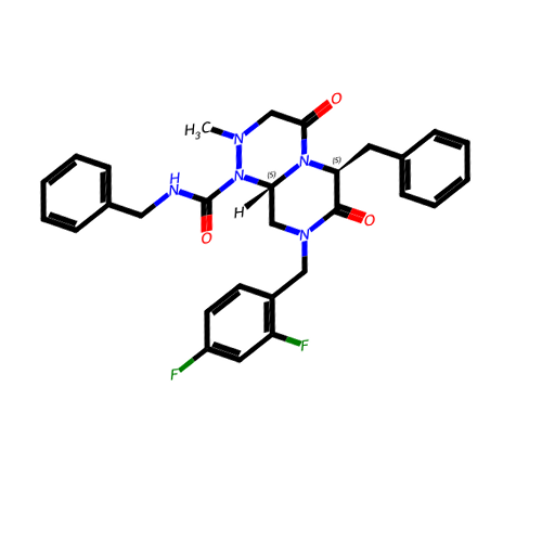 CN1CC(=O)N2[C@@H](Cc3ccccc3)C(=O)N(Cc3ccc(F)cc3F)C[C@@H]2N1C(=O)NCc1ccccc1